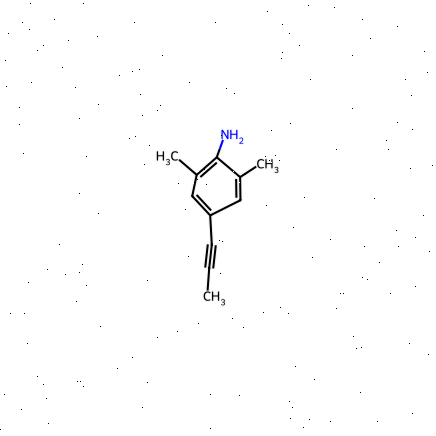 CC#Cc1cc(C)c(N)c(C)c1